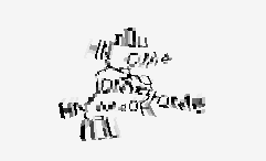 CCCCNCCC(NCCCC)[Si](OC)(OC)O[SiH](OC)OC